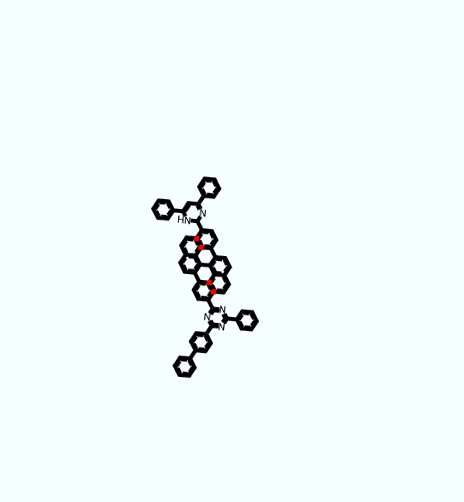 C1=C(c2ccccc2)NC(c2ccc(-c3ccc4ccccc4c3-c3c(-c4ccc(-c5nc(-c6ccccc6)nc(-c6ccc(-c7ccccc7)cc6)n5)cc4)ccc4ccccc34)cc2)N=C1c1ccccc1